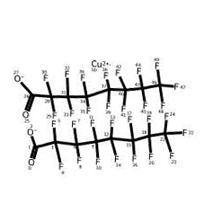 O=C([O-])C(F)(F)C(F)(F)C(F)(F)C(F)(F)C(F)(F)C(F)(F)C(F)(F)F.O=C([O-])C(F)(F)C(F)(F)C(F)(F)C(F)(F)C(F)(F)C(F)(F)C(F)(F)F.[Cu+2]